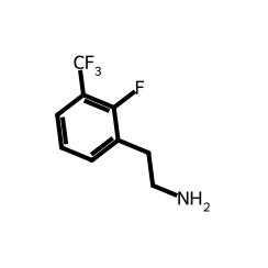 NCCc1cccc(C(F)(F)F)c1F